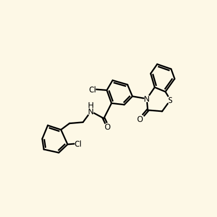 O=C(NCCc1ccccc1Cl)c1cc(N2C(=O)CSc3ccccc32)ccc1Cl